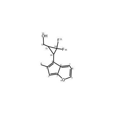 Cc1cc2occcc-2c1C1C(CO)C1(F)F